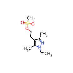 CCn1nc(C)c(CCOS(C)(=O)=O)c1C